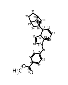 COC(=O)c1ccc(CN2C=CC3C2=NC=CC3C2=CC3CCC(C2)N3)cc1